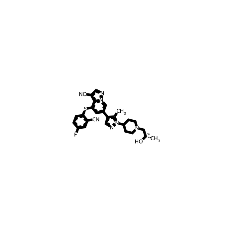 Cc1c(-c2cc(Sc3ccc(F)cc3C#N)c3c(C#N)cnn3c2)cnn1C1CCN(C[C@H](C)O)CC1